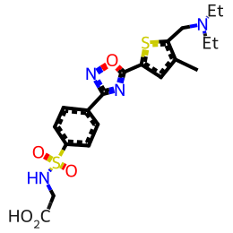 CCN(CC)Cc1sc(-c2nc(-c3ccc(S(=O)(=O)NCC(=O)O)cc3)no2)cc1C